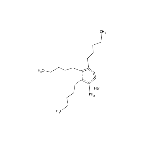 Br.CCCCCc1ccc(P)c(CCCCC)c1CCCCC